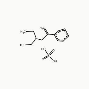 C=C(CN(CC)CC)c1ccccc1.O=S(=O)(O)O